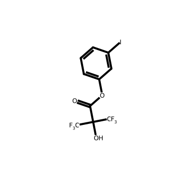 O=C(Oc1cccc(I)c1)C(O)(C(F)(F)F)C(F)(F)F